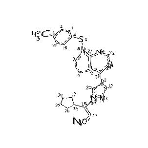 Cc1ccc(Sn2ccc3c(-c4cnn(/C(=C/C#N)C5CCCC5)c4)ncnc32)cc1